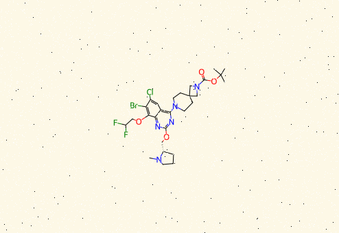 CN1CCC[C@H]1COc1nc(N2CCC3(CC2)CN(C(=O)OC(C)(C)C)C3)c2cc(Cl)c(Br)c(OCC(F)F)c2n1